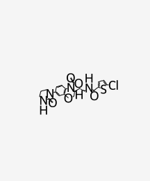 O=C(NC[C@@H]1OC(=O)N2c3ccc(N4CCCNC4=O)cc3OC[C@@H]12)c1ccc(Cl)s1